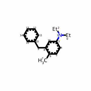 CCN(CC)c1ccc(C)c(Cc2ccccc2)c1